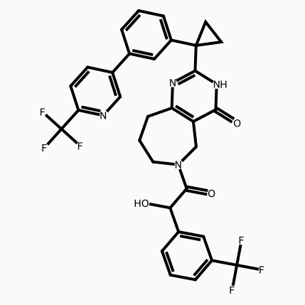 O=C(C(O)c1cccc(C(F)(F)F)c1)N1CCCc2nc(C3(c4cccc(-c5ccc(C(F)(F)F)nc5)c4)CC3)[nH]c(=O)c2C1